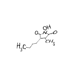 CCCCC1=C(C)C(=O)N(O)C1=O